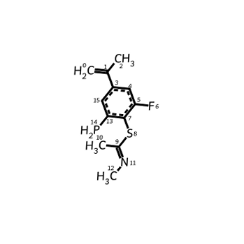 C=C(C)c1cc(F)c(S/C(C)=N/C)c(P)c1